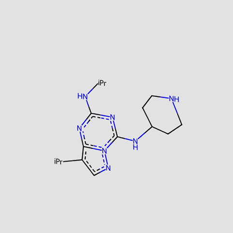 CC(C)Nc1nc(NC2CCNCC2)n2ncc(C(C)C)c2n1